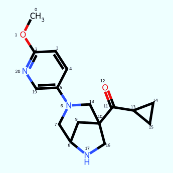 COc1ccc(N2CC3CC(C(=O)C4CC4)(CN3)C2)cn1